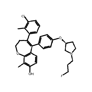 Cc1c(Cl)cccc1C1=C(c2ccc(O[C@H]3CCN(CCCF)C3)cc2)c2ccc(O)c(C)c2OCC1